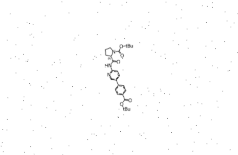 CC(C)(C)OC(=O)c1ccc(-c2ccc(NC(=O)[C@H]3CCCN3C(=O)OC(C)(C)C)nc2)cc1